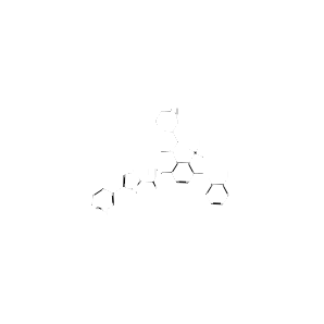 CN(CC1CNCCO1)c1c(NC(=O)c2nc(-c3ccnnc3)cs2)ccc(Oc2ccccc2F)c1C(F)(F)F